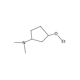 CCOC1CCC(N(C)C)C1